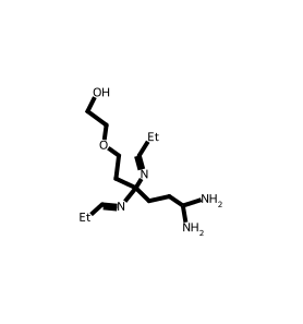 CCC=NC(CCOCCO)(CCC(N)N)N=CCC